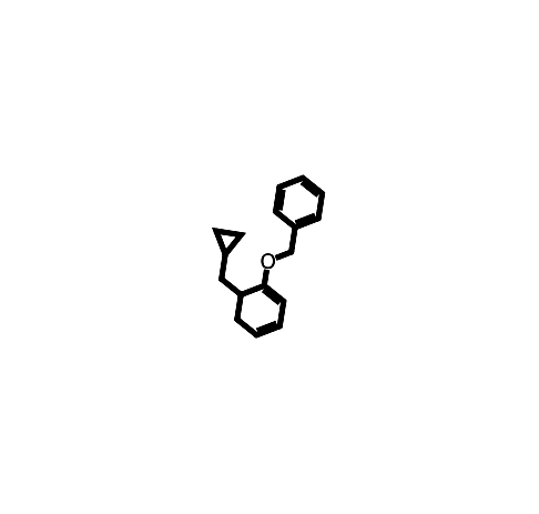 C1=CCC(CC2CC2)C(OCc2ccccc2)=C1